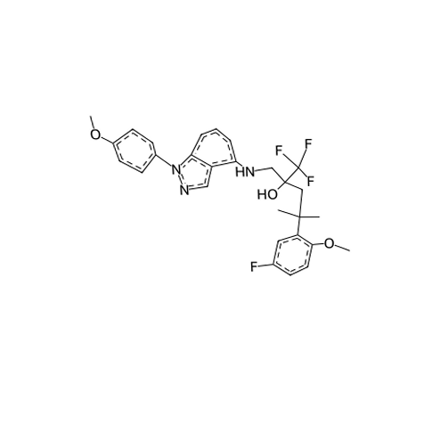 COc1ccc(-n2ncc3c(NCC(O)(CC(C)(C)c4cc(F)ccc4OC)C(F)(F)F)cccc32)cc1